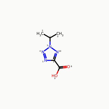 CC(C)n1nnc(C(=O)O)n1